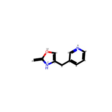 C=C1NC(Cc2cccnc2)=CO1